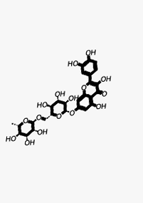 C[C@@H]1O[C@@H](OC[C@H]2O[C@@H](Oc3cc(O)c4c(=O)c(O)c(-c5ccc(O)c(O)c5)oc4c3)[C@H](O)[C@@H](O)[C@@H]2O)[C@H](O)[C@H](O)[C@H]1O